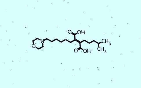 CC(C)CCC/C(C(=O)O)=C(/CCCCCCN1CCOCC1)C(=O)O